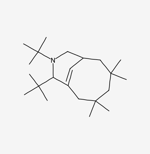 CC1(C)CC2=CC(CN(C(C)(C)C)C2C(C)(C)C)CC(C)(C)C1